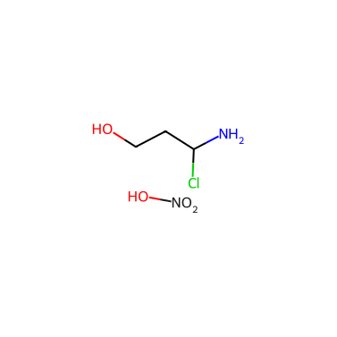 NC(Cl)CCO.O=[N+]([O-])O